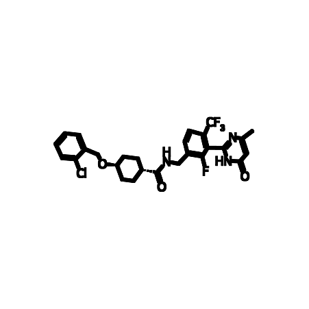 Cc1cc(=O)[nH]c(-c2c(C(F)(F)F)ccc(CNC(=O)[C@H]3CC[C@H](OCc4ccccc4Cl)CC3)c2F)n1